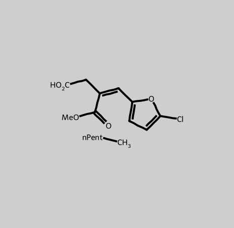 CCCCCC.COC(=O)/C(=C\c1ccc(Cl)o1)CC(=O)O